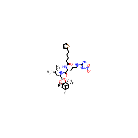 CC(C)C[C@H](NC(=O)[C@H](CCCNC(=N)N[N+](=O)[O-])NC(=O)CCCCc1cccs1)B1O[C@@H]2C[C@@H]3C[C@@H](C3(C)C)[C@]2(C)O1